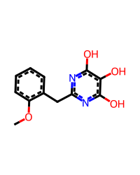 COc1ccccc1Cc1nc(O)c(O)c(O)n1